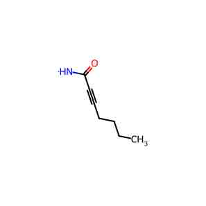 CCCCC#CC([NH])=O